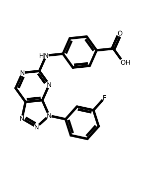 O=C(O)c1ccc(Nc2ncc3nnn(-c4cccc(F)c4)c3n2)cc1